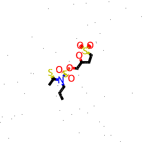 CCCN(C(C)=S)S(=O)(=O)OCC1CCS(=O)(=O)O1